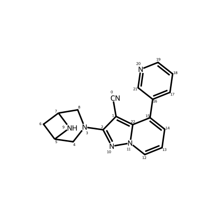 N#Cc1c(N2CC3CC(C2)N3)nn2cccc(-c3cccnc3)c12